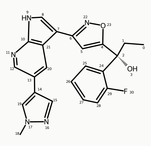 CC[C@](O)(c1cc(-c2c[nH]c3ncc(-c4cnn(C)c4)cc23)no1)c1ccccc1F